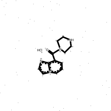 Cl.O=C(c1cccn2ccnc12)N1CCNCC1